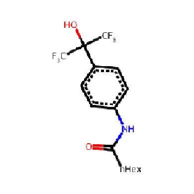 CCCCCCC(=O)Nc1ccc(C(O)(C(F)(F)F)C(F)(F)F)cc1